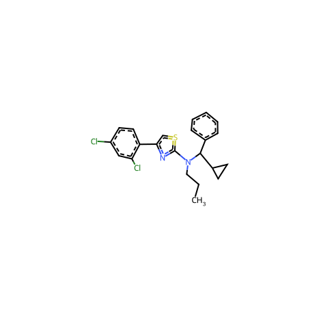 CCCN(c1nc(-c2ccc(Cl)cc2Cl)cs1)C(c1ccccc1)C1CC1